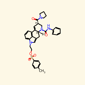 Cc1ccc(S(=O)(=O)OCCn2cc3c4c(cccc42)C2=C[C@@H](C(=O)N4CCCC4)CN(C(=O)Nc4ccccc4)[C@@H]2C3)cc1